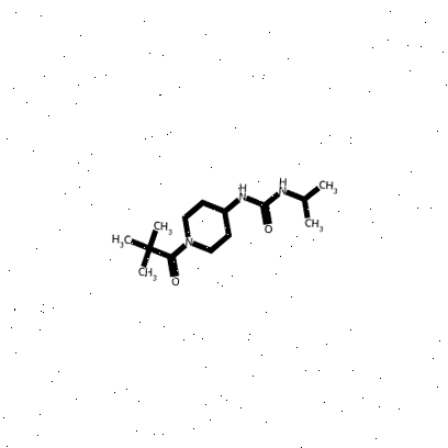 CC(C)NC(=O)NC1CCN(C(=O)C(C)(C)C)CC1